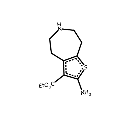 CCOC(=O)c1c(N)sc2c1CCNCC2